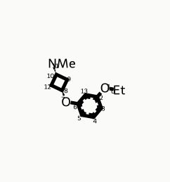 CCOc1cccc(O[C@H]2C[C@@H](NC)C2)c1